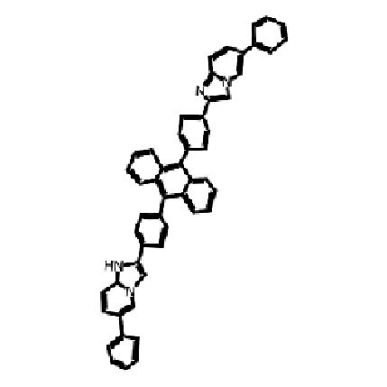 C1=CC2NC(c3ccc(-c4c5ccccc5c(-c5ccc(-c6cn7cc(-c8ccccc8)ccc7n6)cc5)c5ccccc45)cc3)=CN2C=C1c1ccccc1